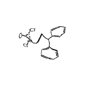 Cl[Si](Cl)(Cl)CCC(c1ccccc1)c1ccccc1